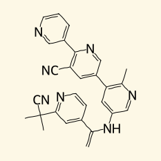 C=C(Nc1cnc(C)c(-c2cnc(-c3cccnc3)c(C#N)c2)c1)c1ccnc(C(C)(C)C#N)c1